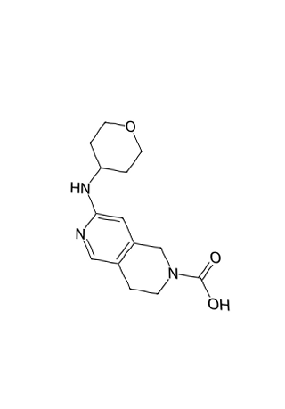 O=C(O)N1CCc2cnc(NC3CCOCC3)cc2C1